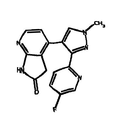 Cn1cc(-c2ccnc3c2CC(=O)N3)c(-c2ccc(F)cn2)n1